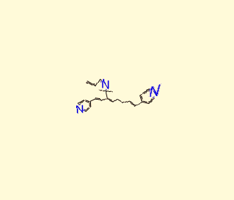 C=C/C=N\C(C)(C)C(=C\CC/C=C/c1ccncc1)/C=C/c1ccncc1